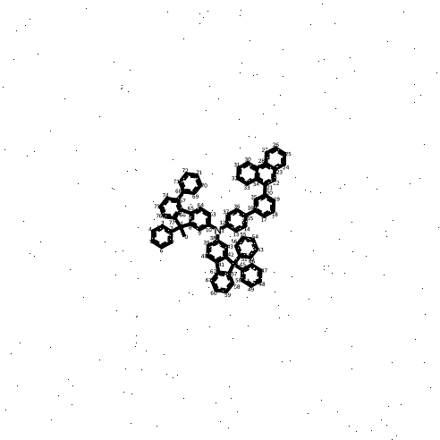 CC1(c2ccccc2)c2cc(N(c3ccc(-c4cccc(-c5cc6ccccc6c6ccccc56)c4)cc3)c3ccc4c(c3)C(c3ccccc3)(c3ccccc3)c3ccccc3-4)ccc2-c2c(-c3ccccc3)cccc21